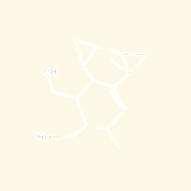 CC1C=C2C(C(CO)C1CO)C1CC1C1CC21C